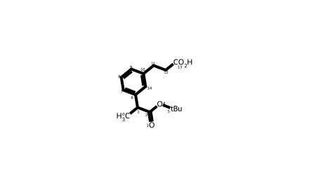 CC(C(=O)OC(C)(C)C)c1cccc(CCC(=O)O)c1